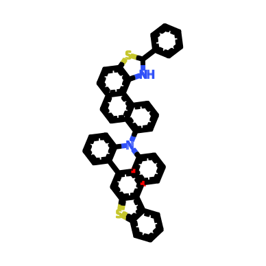 c1ccc(C2Nc3c(ccc4ccc5c(N(c6ccccc6)c6ccccc6-c6ccc7c(c6)sc6ccccc67)cccc5c34)S2)cc1